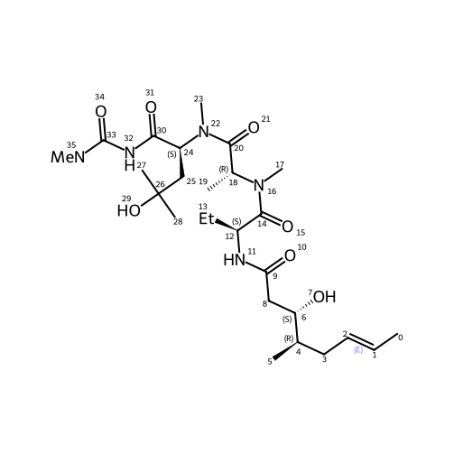 C/C=C/C[C@@H](C)[C@@H](O)CC(=O)N[C@@H](CC)C(=O)N(C)[C@H](C)C(=O)N(C)[C@@H](CC(C)(C)O)C(=O)NC(=O)NC